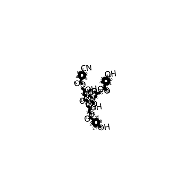 N#Cc1ccc(C(=O)OCC(O)Cn2c(=O)n(CC(O)COC(=O)c3ccc(O)cc3)c(=O)n(CC(O)COC(=O)c3ccc(O)cc3)c2=O)cc1